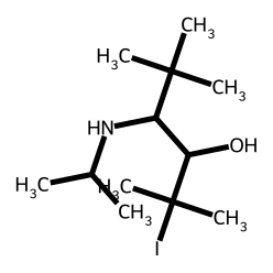 CC(C)NC(C(O)C(C)(C)I)C(C)(C)C